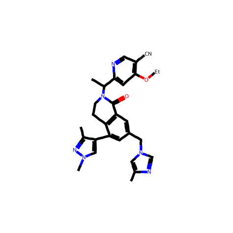 CCOc1cc(C(C)N2CCc3c(cc(Cn4cnc(C)c4)cc3-c3cn(C)nc3C)C2=O)ncc1C#N